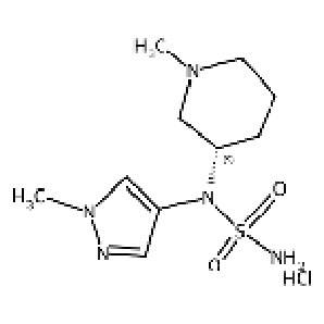 CN1CCC[C@H](N(c2cnn(C)c2)S(N)(=O)=O)C1.Cl